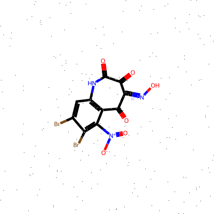 O=C1Nc2cc(Br)c(Br)c([N+](=O)[O-])c2C(=O)/C(=N/O)C1=O